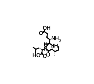 CC[C@H](C)[C@H](NC(=O)[C@@H](N)CCC(=O)O)C(=O)N[C@@H](CC(C)C)C(=O)O